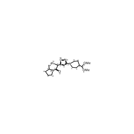 COC(OC)C1CCN(c2cc(C(C(=O)N3CCCC3C)C(C)C)on2)CC1